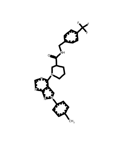 Cc1ccc(-n2cc3c(N4CCCC(C(=O)NCc5ccc(C(F)(F)F)cc5)C4)ncnc3n2)cc1